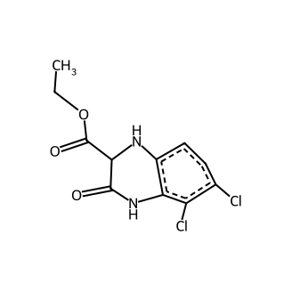 CCOC(=O)C1Nc2ccc(Cl)c(Cl)c2NC1=O